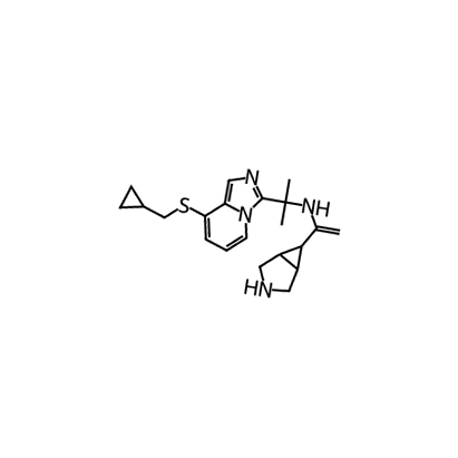 C=C(NC(C)(C)c1ncc2c(SCC3CC3)cccn12)C1C2CNCC21